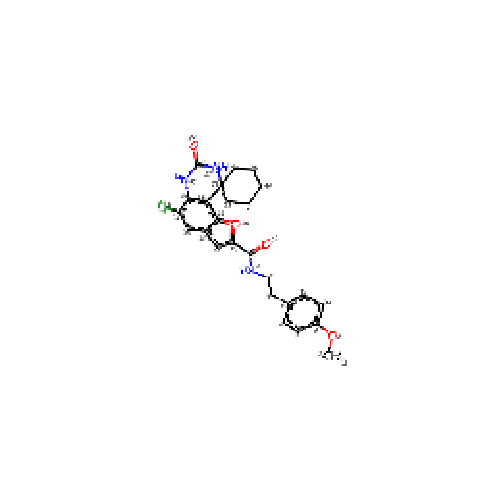 COc1ccc(CCNC(=O)c2cc3cc(Cl)c4c(c3o2)C2(CCCCC2)NC(=O)N4)cc1